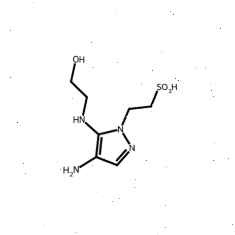 Nc1cnn(CCS(=O)(=O)O)c1NCCO